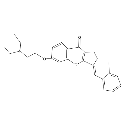 CCN(CC)CCOc1ccc2c(=O)c3c(oc2c1)C(=Cc1ccccc1C)CC3